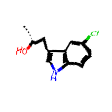 C[C@@H](O)Cc1c[nH]c2ccc(Cl)cc12